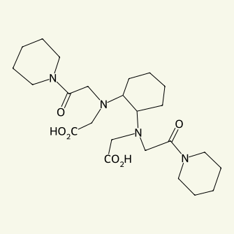 O=C(O)CN(CC(=O)N1CCCCC1)C1CCCCC1N(CC(=O)O)CC(=O)N1CCCCC1